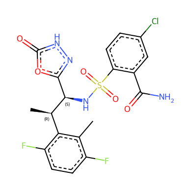 Cc1c(F)ccc(F)c1[C@@H](C)[C@H](NS(=O)(=O)c1ccc(Cl)cc1C(N)=O)c1n[nH]c(=O)o1